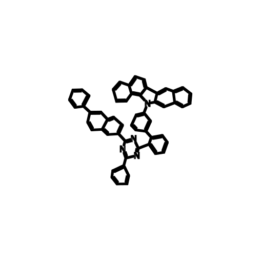 c1ccc(-c2ccc3cc(-c4nc(-c5ccccc5)nc(-c5ccccc5-c5cccc(-n6c7cc8ccccc8cc7c7ccc8ccccc8c76)c5)n4)ccc3c2)cc1